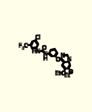 CCOc1cc2ncnc(Oc3cccc(NC(=O)Nc4cc(Cl)cc(C(F)(F)F)c4)c3)c2cc1OCC